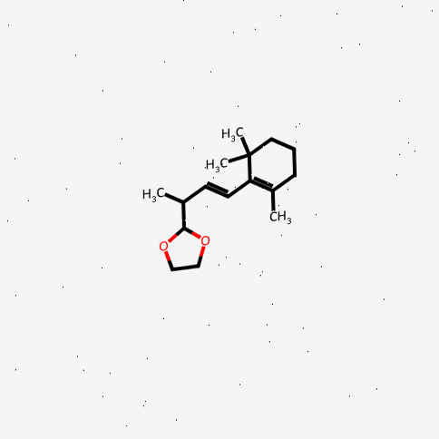 CC1=C(C=CC(C)C2OCCO2)C(C)(C)CCC1